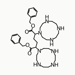 O=C(OCc1ccccc1)C(CCC(C(=O)OCc1ccccc1)N1CCNCCNCCNCC1)N1CCNCCNCCNCC1